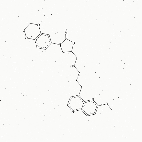 COc1ccc2nccc(CCCNCC3CN(c4ccc5c(c4)OCCO5)C(=O)O3)c2n1